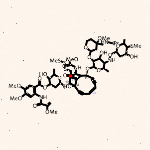 C=C(OC)C(=O)Nc1cc(OC)c(OC)cc1C(=O)OC1CC(O[C@@H]2C(=O)C(NC(=O)OC)C3/C(=C\CSSSC)[C@]2(O)C#C/C=C\C#C[C@@H]3OC2OC(C)C(NOC3CC(O)C(SC)C(C)O3)C(O)C2OC2CC(CNC(C)C)(OC)CCO2)OC(C)C1O